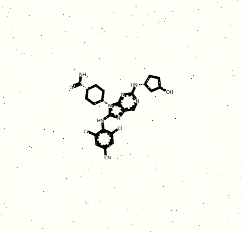 N#Cc1cc(Cl)c(Nc2nc3cnc(N[C@@H]4CCC(O)C4)nc3n2[C@H]2CC[C@@H](C(N)=O)CC2)c(Cl)c1